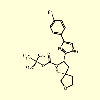 CC(C)(C)OC(=O)N1C[C@@]2(CCOC2)C[C@H]1c1nc(-c2ccc(Br)cc2)c[nH]1